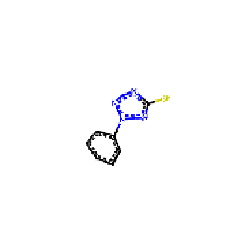 Sc1nnn(-c2ccccc2)n1